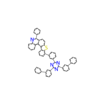 c1ccc(-c2cccc(-c3nc(-c4cccc(-c5ccccc5)c4)nc(-c4cccc(-c5cccc6c5sc5ccc7c(-c8ccccc8)nc8ccccc8c7c56)c4)n3)c2)cc1